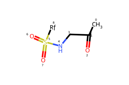 CC(=O)CN[S](=O)(=O)[Rf]